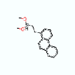 CO[SiH](CCc1cccc2c1ccc1ccccc12)OC